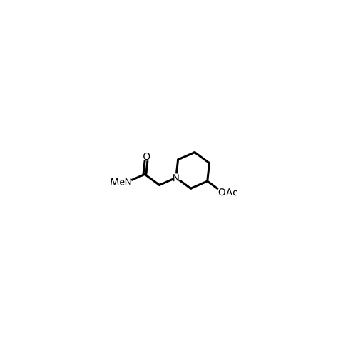 CNC(=O)CN1CCCC(OC(C)=O)C1